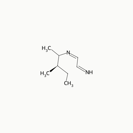 CC[C@@H](C)C(C)/N=C\C=N